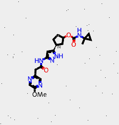 COc1cnc(CC(=O)Nc2cc([C@H]3CCC(OC(=O)NC4(C)CC4)C3)[nH]n2)cn1